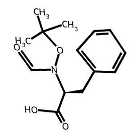 CC(C)(C)ON(C=O)[C@@H](Cc1ccccc1)C(=O)O